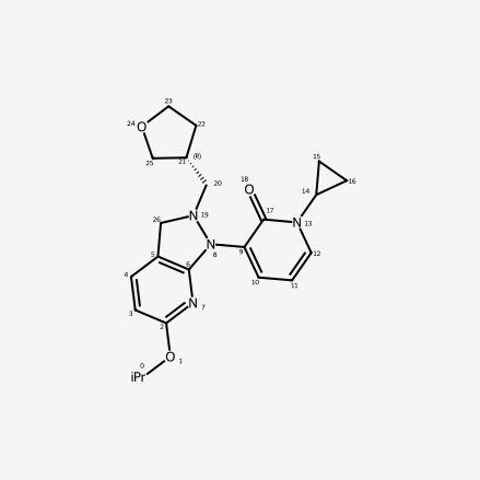 CC(C)Oc1ccc2c(n1)N(c1cccn(C3CC3)c1=O)N(C[C@H]1CCOC1)C2